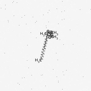 CCCCCCCCCCCCCCCCCC=CC1=C(C)C(=O)C(OC)=C(OC)C1=O